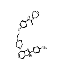 CC(C)(C)c1ccc(-c2nc3c(N4CCN(CCOc5ccc(NC(=O)N6CCOCC6)cc5)CC4)cccc3[nH]2)cc1